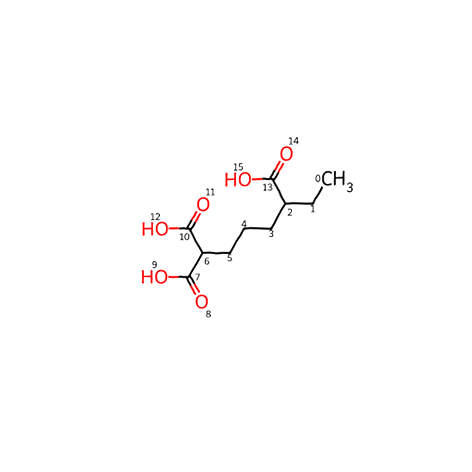 CCC(CCCC(C(=O)O)C(=O)O)C(=O)O